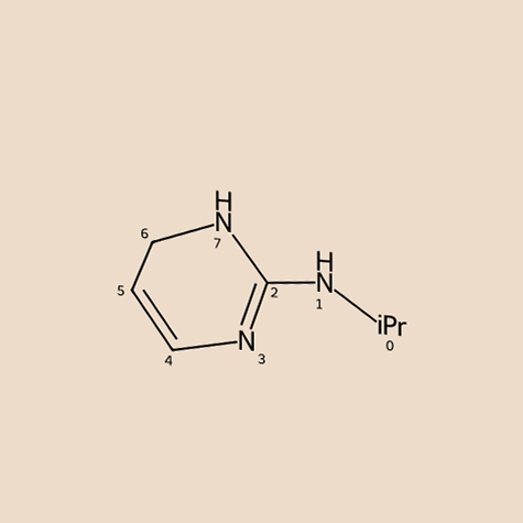 CC(C)NC1=NC=CCN1